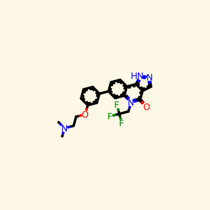 CN(C)CCOc1cccc(-c2ccc3c4[nH]ncc4c(=O)n(CC(F)(F)F)c3c2)c1